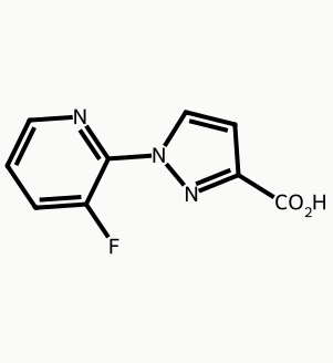 O=C(O)c1ccn(-c2ncccc2F)n1